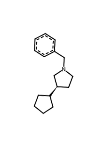 c1ccc(CN2CC[C@@H]([C]3CCCC3)C2)cc1